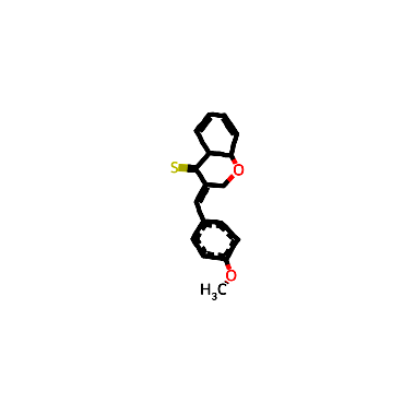 COc1ccc(/C=C2\COC3C=CC=CC3C2=S)cc1